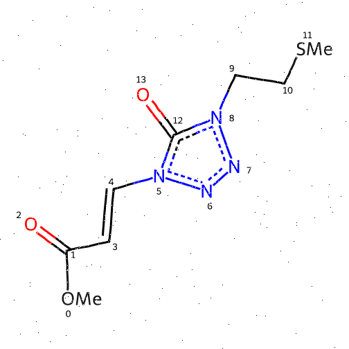 COC(=O)/C=C/n1nnn(CCSC)c1=O